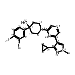 Cn1cc(-c2cncc(N3CCC(O)(c4ccc(F)c(F)c4)CC3)n2)c(C2CC2)n1